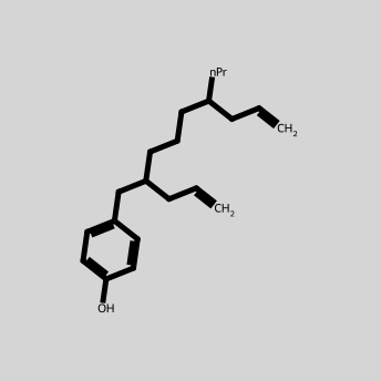 C=CCC(CCC)CCCC(CC=C)Cc1ccc(O)cc1